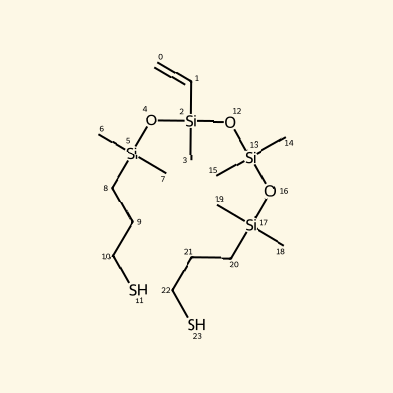 C=C[Si](C)(O[Si](C)(C)CCCS)O[Si](C)(C)O[Si](C)(C)CCCS